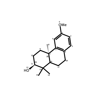 COc1ccc2c(c1)[C@]1(C)CC[C@H](O)C(C)(C)C1CC2